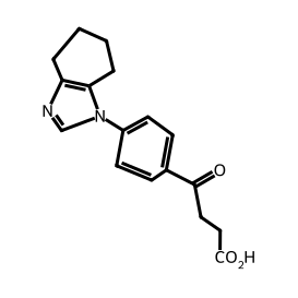 O=C(O)CCC(=O)c1ccc(-n2cnc3c2CCCC3)cc1